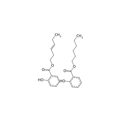 CCC=CCCOC(=O)c1ccccc1O.CCCCCCOC(=O)c1ccccc1O